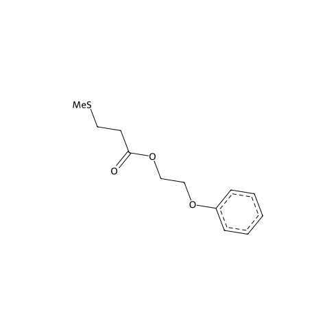 CSCCC(=O)OCCOc1ccccc1